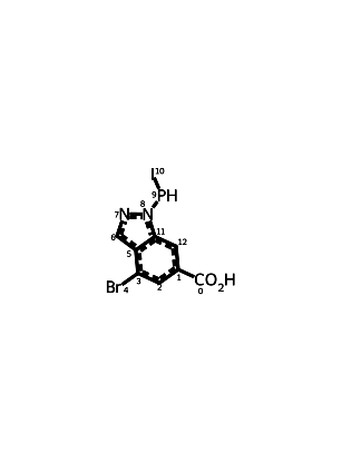 O=C(O)c1cc(Br)c2cnn(PI)c2c1